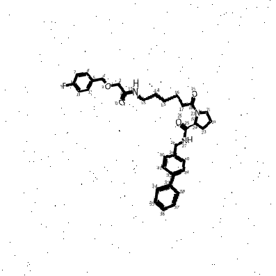 O=C(COCc1ccc(F)cc1)NCCCCCC(=O)N1CCC[C@H]1C(=O)NCc1ccc(-c2ccccc2)cc1